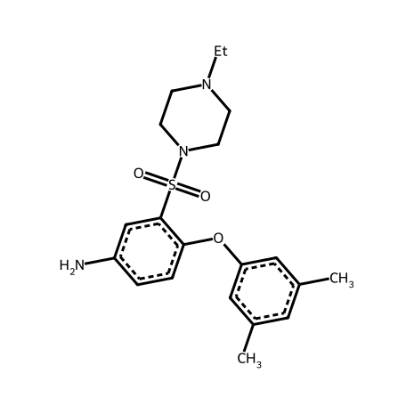 CCN1CCN(S(=O)(=O)c2cc(N)ccc2Oc2cc(C)cc(C)c2)CC1